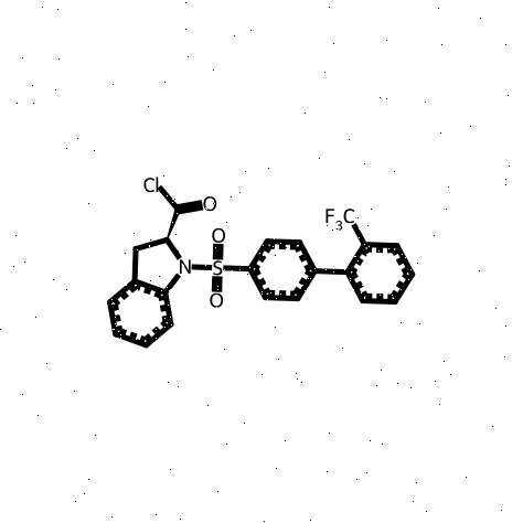 O=C(Cl)[C@@H]1Cc2ccccc2N1S(=O)(=O)c1ccc(-c2ccccc2C(F)(F)F)cc1